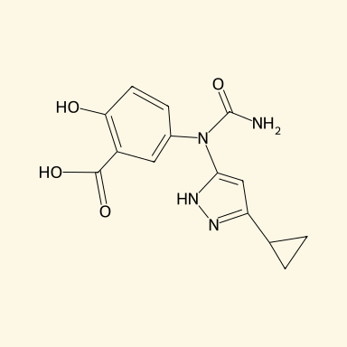 NC(=O)N(c1ccc(O)c(C(=O)O)c1)c1cc(C2CC2)n[nH]1